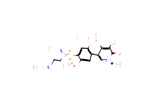 CNCCN(C)S(=O)(=O)c1cc(OC)c(-c2cn(C)c(=O)c(C)c2C)cc1OC